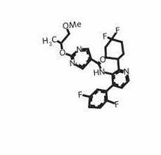 COCC(C)Oc1ncc(C(=O)Nc2c(-c3cc(F)ccc3F)ccnc2C2CCC(F)(F)CC2)cn1